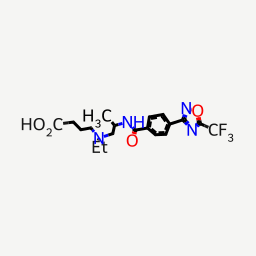 CCN(CCCC(=O)O)CC(C)NC(=O)c1ccc(-c2noc(C(F)(F)F)n2)cc1